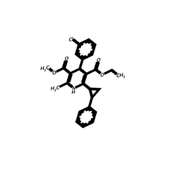 CCOC(=O)C1=C(C2CC2c2ccccc2)NC(C)=C(C(=O)OC)C1c1cccc(Cl)c1